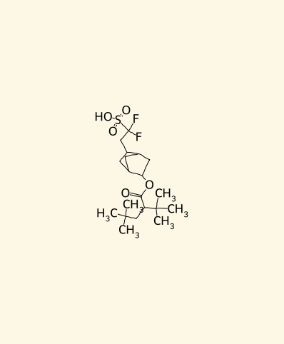 CC(C)(C)CC(C(=O)OC1CC2CC1CC2CC(F)(F)S(=O)(=O)O)C(C)(C)C